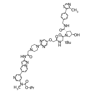 Cc1ncsc1-c1ccc(CNC(=O)[C@@H]2C[C@@H](O)CN2C(=O)[C@@H](NC(=O)COc2cnc(N3CCN(CC(=O)Nc4cc5cc(-c6cncc(N(C)C(=O)OC(C)C)c6)ccn5n4)CC3)nc2)C(C)(C)C)cc1